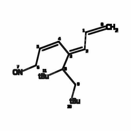 C=C/C=C(\C=C/CN=O)C(CC(C)(C)C)C(C)(C)C